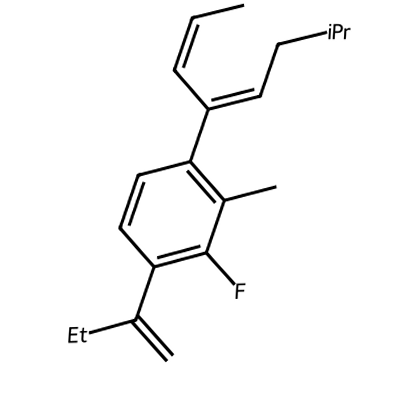 C=C(CC)c1ccc(C(/C=C\C)=C/CC(C)C)c(C)c1F